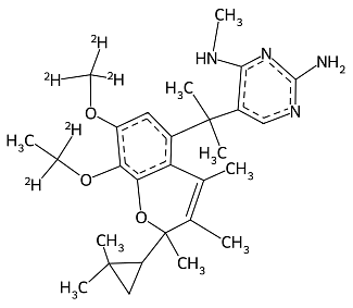 [2H]C([2H])([2H])Oc1cc(C(C)(C)c2cnc(N)nc2NC)c2c(c1OC([2H])([2H])C)OC(C)(C1CC1(C)C)C(C)=C2C